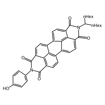 CCCCCCC(CCCCCC)N1C(=O)c2ccc3c4ccc5c6c(ccc(c7ccc(c2c37)C1=O)c64)C(=O)N(c1ccc(O)cc1)C5=O